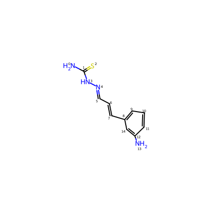 NC(=S)NN=C/C=C/c1cccc(N)c1